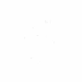 OC1(c2ccccc2C(F)(F)F)CCNCC1